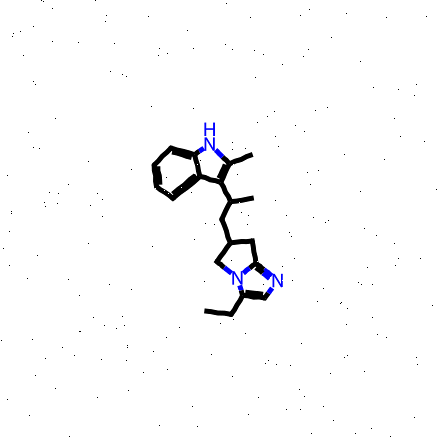 CCc1cnc2n1CC(CC(C)c1c(C)[nH]c3ccccc13)C2